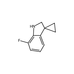 Fc1cccc2c1NCC21CC1